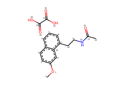 COc1ccc2cccc(CCNC(C)=O)c2c1.O=C(O)C(=O)O